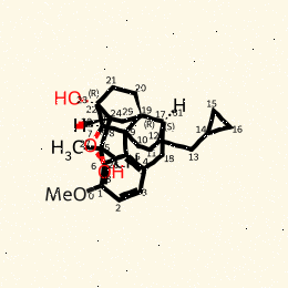 COc1ccc2c3c1O[C@@H]1C34CCC(CC3CC3)[C@H](C2)[C@]42CC[C@@]1(O)[C@@H](C(C)(C)O)C2